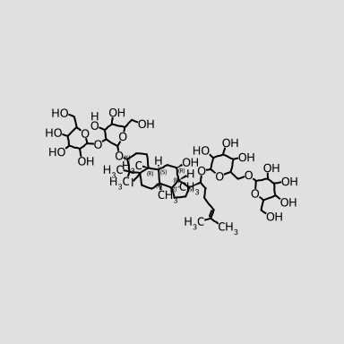 CC(C)=CCCC(OC1OC(COC2OC(CO)C(O)C(O)C2O)C(O)C(O)C1O)[C@H]1CC[C@]2(C)[C@@H]1[C@H](O)C[C@@H]1[C@@]3(C)CC[C@H](OC4OC(CO)C(O)C(O)C4OC4OC(CO)C(O)C(O)C4O)C(C)(C)C3(I)CC[C@]12C